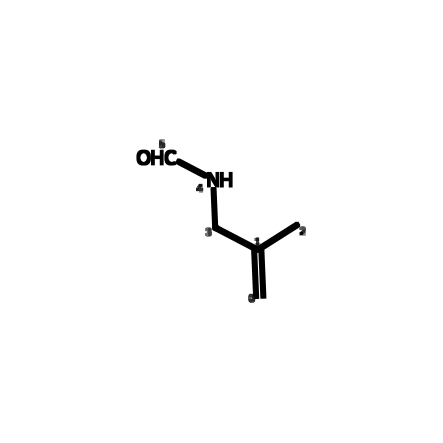 C=C(C)CNC=O